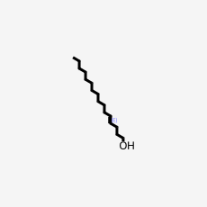 CCCCCCCCCCC/C=C/CCCO